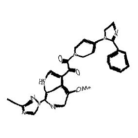 COc1cnc(-n2cnc(C)n2)c2[nH]cc(C(=O)C(=O)N3CCC(N4CCN=C4c4ccccc4)CC3)c12